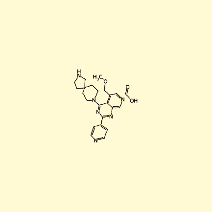 COCc1cncc2nc(-c3ccncc3)nc(N3CCC4(CCNC4)CC3)c12.O=CO